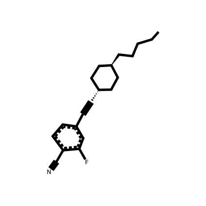 CCCCC[C@H]1CC[C@H](C#Cc2ccc(C#N)c(F)c2)CC1